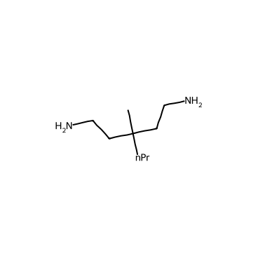 CCCC(C)(CCN)CCN